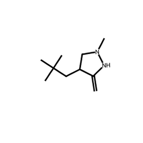 C=C1NN(C)CC1CC(C)(C)C